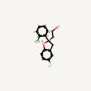 Fc1ccc2c(c1)C[C@@](CCBr)(c1ccccc1Cl)O2